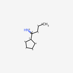 CCCC(=N)C1CCCC1